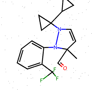 CC1(C=O)C=CN(C2(C3CC3)CC2)N1c1ccccc1C(F)(F)F